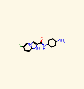 N[C@H]1CC[C@@H](NC(=O)C2=CN3C=C(F)C=CC3N2)CC1